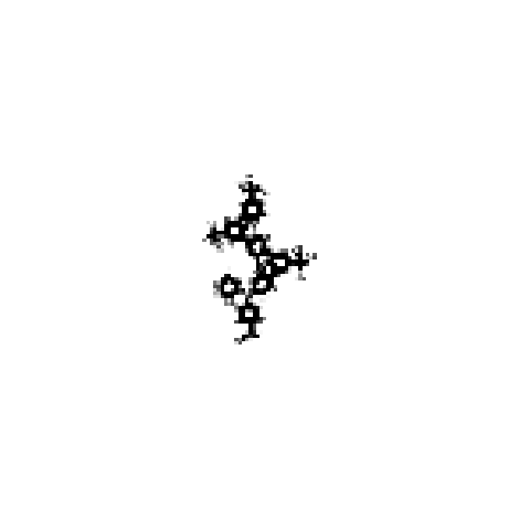 CC(C)c1ccc(N(c2ccccc2)c2ccc3c4cc(C(C)(C)C)cc5c6cc7c(cc6n(c3c2)c45)c2cc(C(C)(C)C)cc3c4cc(C(C)(C)C)ccc4n7c32)cc1